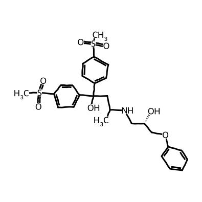 CC(CC(O)(c1ccc(S(C)(=O)=O)cc1)c1ccc(S(C)(=O)=O)cc1)NC[C@H](O)COc1ccccc1